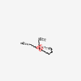 CCCCC/C=C\C/C=C\C/C=C\CCCCCCC(=O)O[C@H](COCCCCCCCCCCCCCCCCCC)COC(=O)CCCCCCCCCCCCCCC